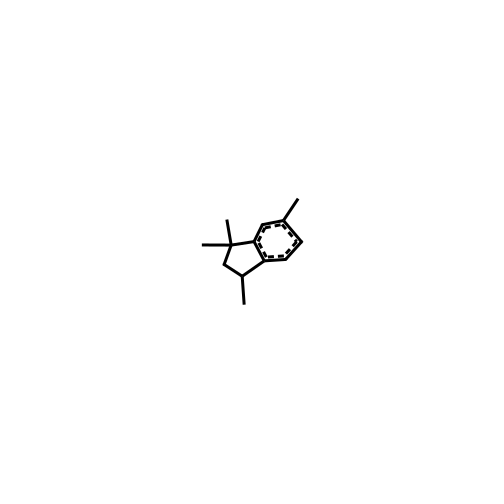 Cc1ccc2c(c1)C(C)(C)CC2C